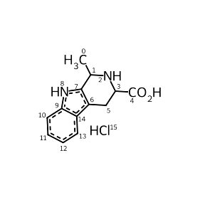 CC1NC(C(=O)O)Cc2c1[nH]c1ccccc21.Cl